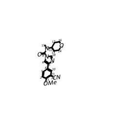 COc1ccc(-c2cn(C(=O)N(C)C3CCOCC3)cn2)cc1C#N